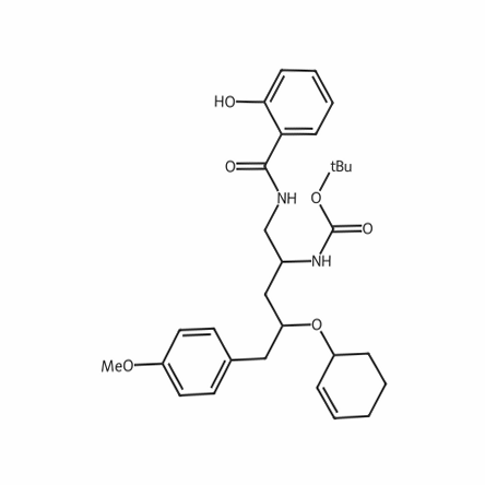 COc1ccc(CC(CC(CNC(=O)c2ccccc2O)NC(=O)OC(C)(C)C)OC2C=CCCC2)cc1